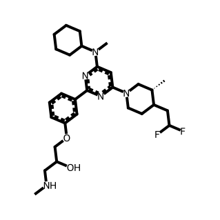 CNCC(O)COc1cccc(-c2nc(N3CCC(CC(F)F)[C@@H](C)C3)cc(N(C)C3CCCCC3)n2)c1